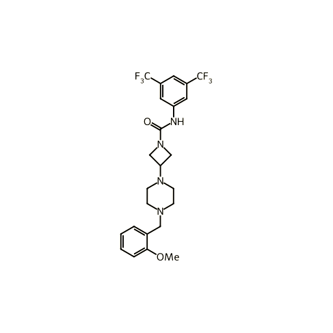 COc1ccccc1CN1CCN(C2CN(C(=O)Nc3cc(C(F)(F)F)cc(C(F)(F)F)c3)C2)CC1